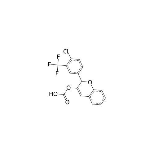 O=C(O)OC1=Cc2ccccc2OC1c1ccc(Cl)c(C(F)(F)F)c1